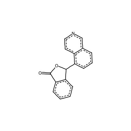 O=C1OC(c2cccc3cnccc23)c2ccccc21